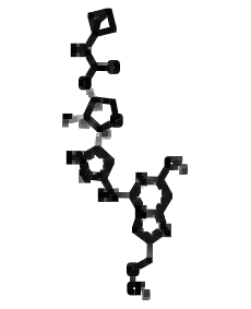 O=C(NC12CC(C1)C2)O[C@@H]1CO[C@H](c2cc(Nc3nc(C(F)(F)F)cc4nc(COC(F)(F)F)cn34)n[nH]2)[C@@H]1F